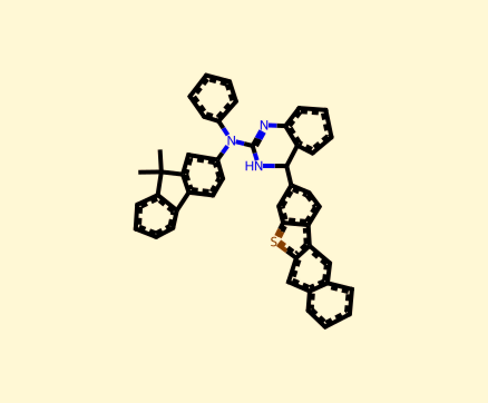 CC1(C)c2ccccc2-c2ccc(N(C3=Nc4ccccc4C(c4ccc5c(c4)sc4cc6ccccc6cc45)N3)c3ccccc3)cc21